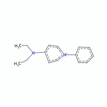 CCN(CC)c1cc[n+](-c2ccccc2)cc1